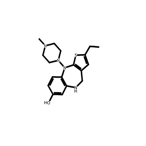 CCc1cc2c(s1)N(N1CCN(C)CC1)c1ccc(O)cc1NC2